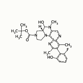 Cc1nc2c3c(cnc2c(C)c1-c1c(O)cccc1F)N(C)C(O)[C@H]1CN(C(=O)OC(C)(C)C)CCN31